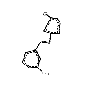 Nc1cccc(/C=C/c2cncc(Cl)c2)c1